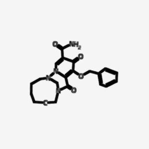 NC(=O)c1cn2c(c(OCc3ccccc3)c1=O)C(=O)N1CCCCCCN2C1